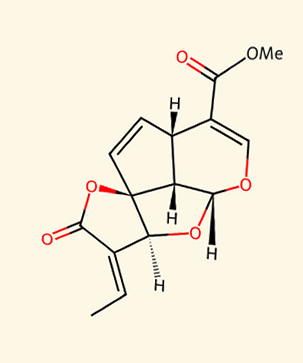 C/C=C1\C(=O)O[C@]23C=C[C@@H]4C(C(=O)OC)=CO[C@H](O[C@@H]12)[C@@H]43